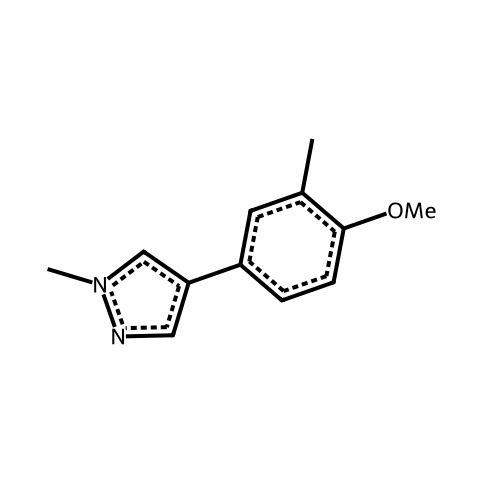 COc1ccc(-c2cnn(C)c2)cc1C